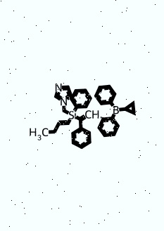 C=C(c1ccccc1)[Si](C=CCC)(Cn1ccnc1)c1ccccc1.c1ccc(B(c2ccccc2)C2CC2)cc1